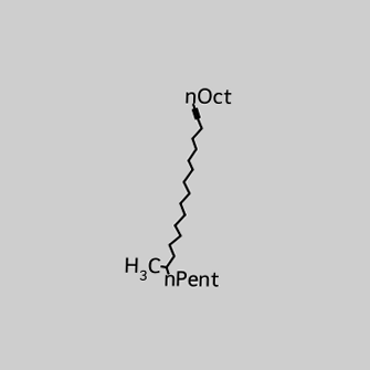 [CH2]CCCCCCCC#CCCCCCCCCCCCCCC(C)CCCC[CH2]